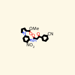 COC(=O)c1cccn1-c1ccc([N+](=O)[O-])c(NC(=O)CC(=O)c2cccc(C#N)c2)c1